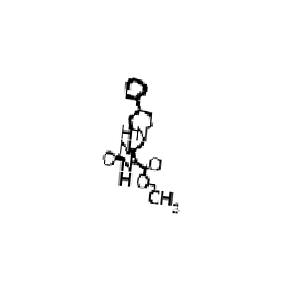 CCOC(=O)c1[nH]c(=O)[nH]c1CN1CCC(c2ccccc2)CC1